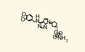 NS(=O)(=O)OC[C@H]1CC[C@H](n2ccc3c(NCc4ccc5c(c4)OCO5)ncnc32)C1